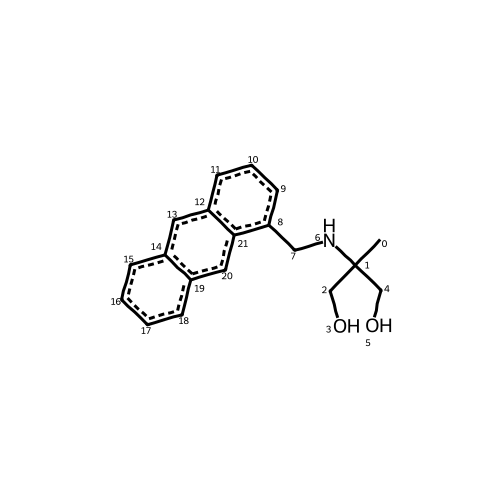 CC(CO)(CO)NCc1cccc2cc3ccccc3cc12